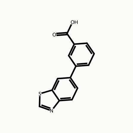 O=C(O)c1cccc(-c2ccc3ncsc3c2)c1